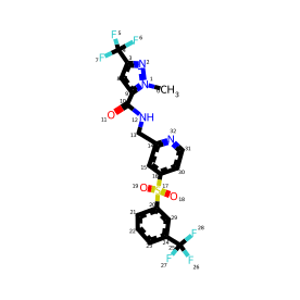 Cn1nc(C(F)(F)F)cc1C(=O)NCc1cc(S(=O)(=O)c2cccc(C(F)(F)F)c2)ccn1